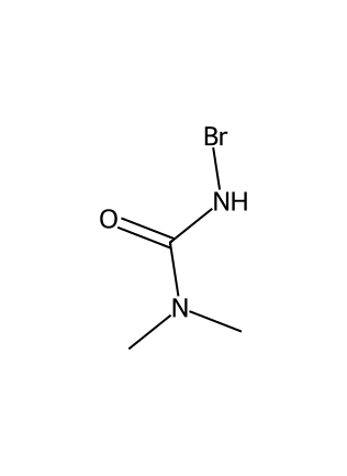 CN(C)C(=O)NBr